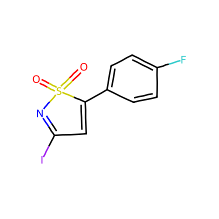 O=S1(=O)N=C(I)C=C1c1ccc(F)cc1